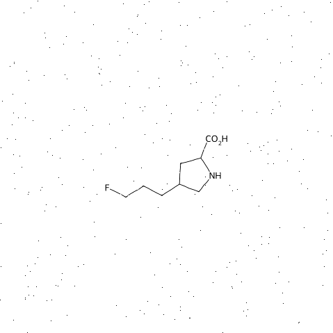 O=C(O)C1CC(CCCF)CN1